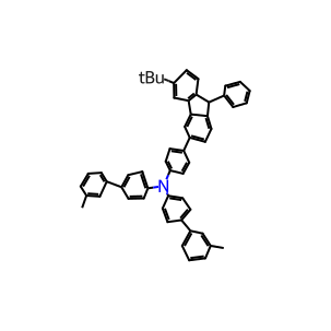 Cc1cccc(-c2ccc(N(c3ccc(-c4cccc(C)c4)cc3)c3ccc(-c4ccc5c(c4)-c4cc(C(C)(C)C)ccc4C5c4ccccc4)cc3)cc2)c1